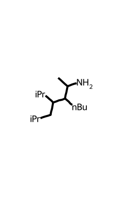 CCCCC(C(C)N)C(CC(C)C)C(C)C